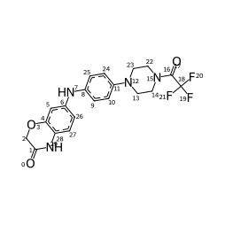 O=C1COc2cc(Nc3ccc(N4CCN(C(=O)C(F)(F)F)CC4)cc3)ccc2N1